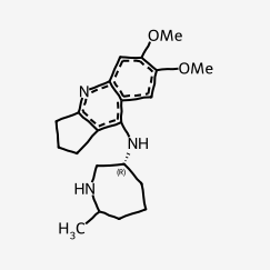 COc1cc2nc3c(c(N[C@@H]4CCCC(C)NC4)c2cc1OC)CCC3